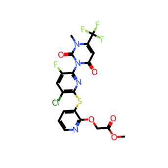 COC(=O)COc1ncccc1Sc1nc(-n2c(=O)cc(C(F)(F)F)n(C)c2=O)c(F)cc1Cl